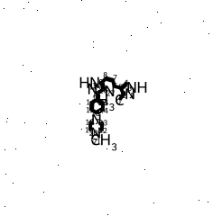 Cc1n[nH]cc1-c1ccc2[nH]nc(-c3ccc(N4CCN(C)CC4)cc3)c2n1